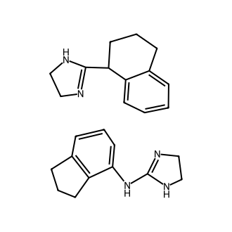 c1cc2c(c(NC3=NCCN3)c1)CCC2.c1ccc2c(c1)CCCC2C1=NCCN1